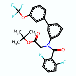 CC(C)(C)OC(=O)CN(C(=O)c1c(F)cccc1F)c1cccc(-c2cccc(OC(F)(F)F)c2)c1